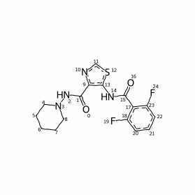 O=C(NN1CCCCC1)c1ncsc1NC(=O)c1c(F)cccc1F